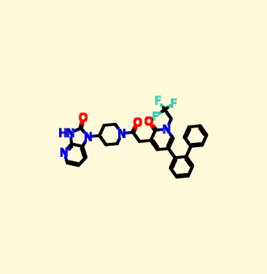 O=C(Cc1cc(-c2ccccc2-c2ccccc2)cn(CC(F)(F)F)c1=O)N1CCC(n2c(=O)[nH]c3ncccc32)CC1